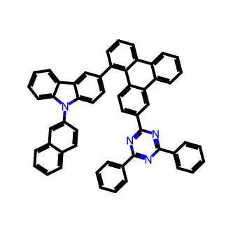 c1ccc(-c2nc(-c3ccccc3)nc(-c3ccc4c(c3)c3ccccc3c3cccc(-c5ccc6c(c5)c5ccccc5n6-c5ccc6ccccc6c5)c34)n2)cc1